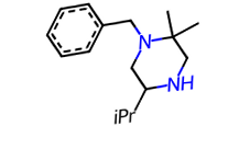 CC(C)C1CN(Cc2ccccc2)C(C)(C)CN1